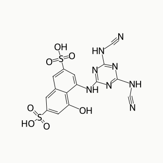 N#CNc1nc(NC#N)nc(Nc2cc(S(=O)(=O)O)cc3cc(S(=O)(=O)O)cc(O)c23)n1